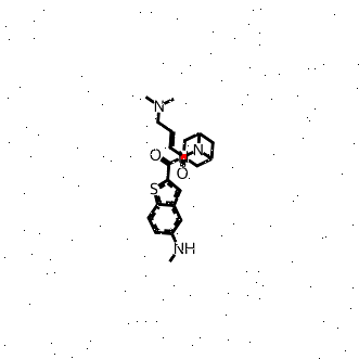 CNc1ccc2sc(C(=O)N3CC4CC(C3)N4C(=O)/C=C/CN(C)C)cc2c1